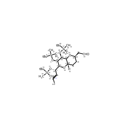 CC(C)(C)[Si](C)(C)O[C@@H]1[C@H]([C@H](/C=C/I)O[Si](C)(C)C(C)(C)C)O[C@H]2CC[C@H](CC=O)OC2[C@@H]1O[Si](C)(C)C(C)(C)C